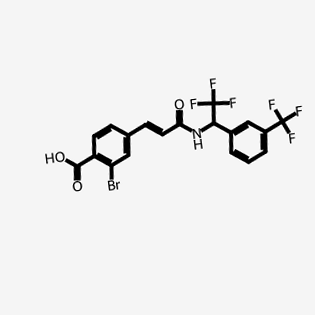 O=C(/C=C/c1ccc(C(=O)O)c(Br)c1)NC(c1cccc(C(F)(F)F)c1)C(F)(F)F